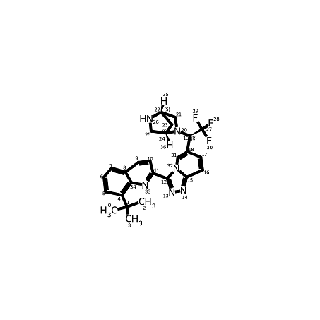 CC(C)(C)c1cccc2ccc(-c3nnc4ccc([C@@H](N5C[C@@H]6C[C@H]5CN6)C(F)(F)F)cn34)nc12